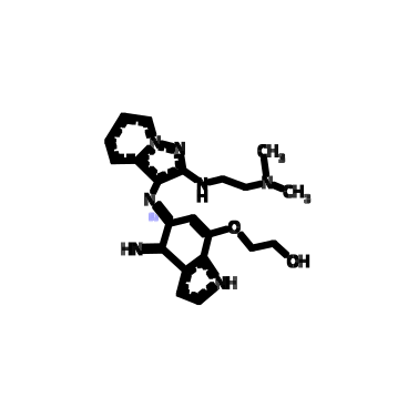 CN(C)CCNc1nn2ccccc2c1/N=C1\C=C(OCCO)c2[nH]ccc2C1=N